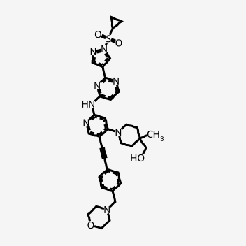 CC1(CO)CCN(c2cc(Nc3ccnc(-c4cnn(S(=O)(=O)C5CC5)c4)n3)ncc2C#Cc2ccc(CN3CCOCC3)cc2)CC1